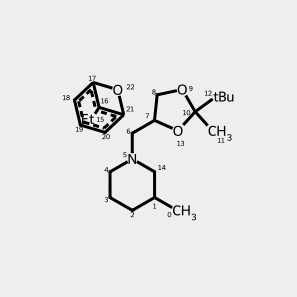 CC1CCCN(CC2COC(C)(C(C)(C)C)O2)C1.CCc1c2cccc1O2